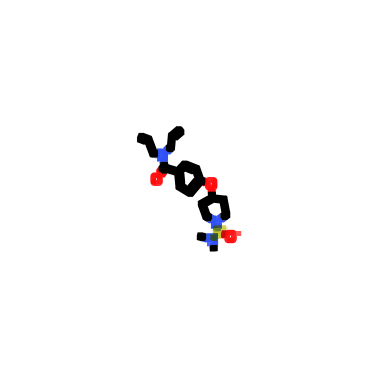 C=CCN(CC=C)C(=O)c1ccc(OC2CCN([S+]([O-])N(C)C)CC2)cc1